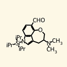 CC(C)[Si](C(C)C)(C(C)C)n1cc2c3c(c(C=O)ccc31)OCC(N(C)C)C2